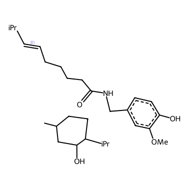 CC1CCC(C(C)C)C(O)C1.COc1cc(CNC(=O)CCCC/C=C/C(C)C)ccc1O